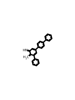 C=C1C(=N)C=C(c2ccc(-c3ccccc3)cc2)C=C1c1ccccc1